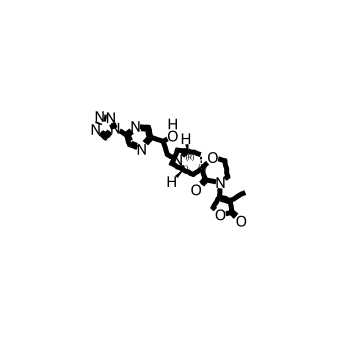 CC1=C(N2CCO[C@@]3(C[C@H]4CC[C@@H](C3)N4CC(O)c3cnc(-n4cnnn4)cn3)C2=O)COC1=O